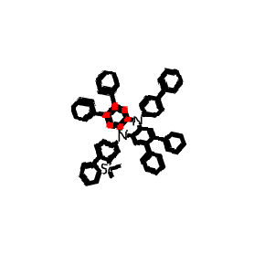 C[Si]1(C)c2ccccc2-c2ccc(N(c3ccc(-c4ccccc4)cc3)c3cc(-c4ccccc4)c(-c4ccccc4)cc3N(c3ccc(-c4ccccc4)cc3)c3ccc(-c4ccccc4)cc3)cc21